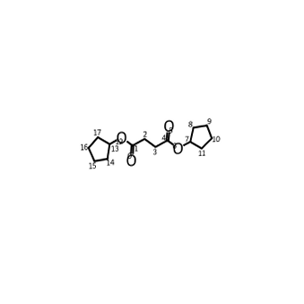 O=C(CCC(=O)OC1CCCC1)OC1CCCC1